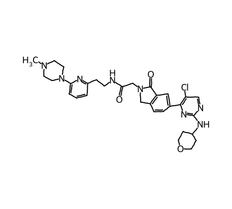 CN1CCN(c2cccc(CCNC(=O)CN3Cc4ccc(-c5nc(NC6CCOCC6)ncc5Cl)cc4C3=O)n2)CC1